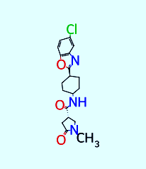 CN1C[C@@H](C(=O)N[C@H]2CC[C@H](c3nc4cc(Cl)ccc4o3)CC2)CC1=O